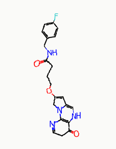 O=C(CCCOC1=CC2=CNC3=C(N=CCC3=O)N2C1)NCc1ccc(F)cc1